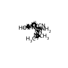 Cc1cc(C)n(-c2nc(N)c(C#N)c(-c3cccc(N4CC(O)C4)n3)n2)n1